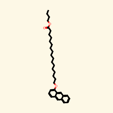 CCCCOC(=O)CCCCCCCCCCCCCCCCOc1cccc2cc3ccccc3cc12